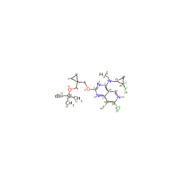 CN(c1nc(OCC2(CO[Si](C)(C)C(C)(C)C)CC2)nc2c(F)c(Cl)ncc12)C1C[C@H]1F